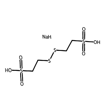 O=S(=O)(O)CCSSCCS(=O)(=O)O.[NaH]